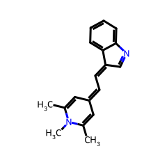 CC1=CC(=CC=C2C=Nc3ccccc32)C=C(C)N1C